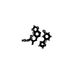 CCCCCCCC[S+]([O-])C(C)Cc1ccc2c(c1)OCO2.[O-][n+]1cccc(-c2nccs2)c1